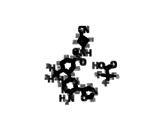 O=C(O)C(F)(F)F.[2H]C([2H])([2H])c1ccc(S(=O)(=O)NC23CC(C#N)(C2)C3)cc1-c1cnc(N)c(-c2cnco2)n1